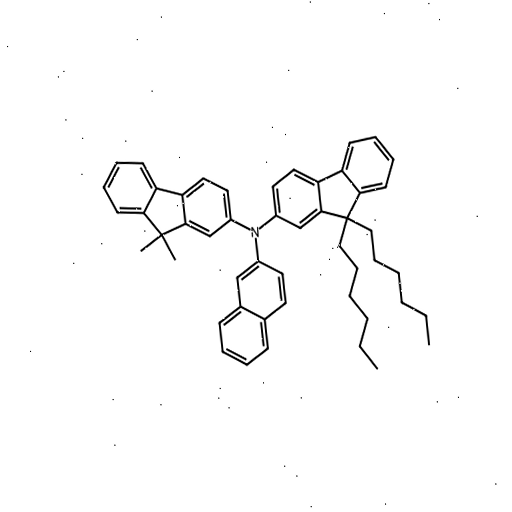 CCCCCCC1(CCCCCC)c2ccccc2-c2ccc(N(c3ccc4c(c3)C(C)(C)c3ccccc3-4)c3ccc4ccccc4c3)cc21